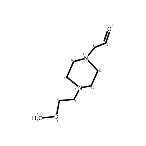 COCCN1CCN(C[C]=O)CC1